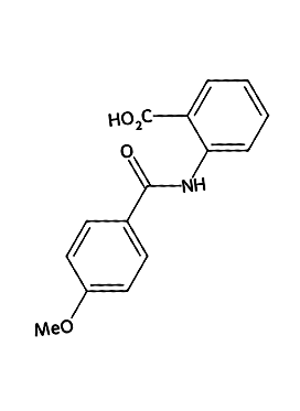 COc1ccc(C(=O)Nc2ccccc2C(=O)O)cc1